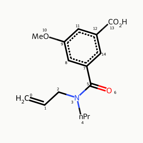 C=CCN(CCC)C(=O)c1cc(OC)cc(C(=O)O)c1